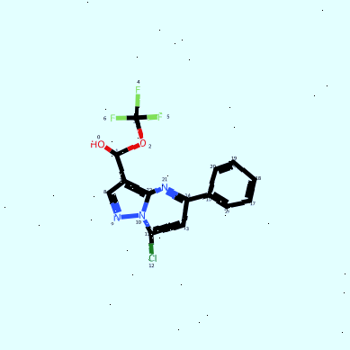 OC(OC(F)(F)F)c1cnn2c(Cl)cc(-c3ccccc3)nc12